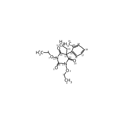 CCON1C(=O)N(OCC)C(=O)C(CC)(c2ccccc2C)C1=O